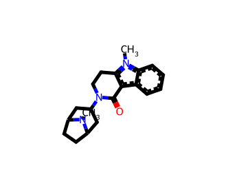 CN1C2CCC1CC(N1CCc3c(c4ccccc4n3C)C1=O)C2